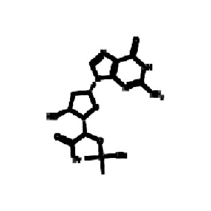 CC(C)C(=O)C(O[Si](C)(C)C(C)(C)C)[C@H]1O[C@@H](n2cnc3c(=O)[nH]c(N)nc32)C[C@@H]1O